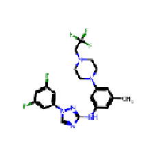 Cc1cc(Nc2ncn(-c3cc(F)cc(F)c3)n2)cc(N2CCN(CC(F)(F)F)CC2)c1